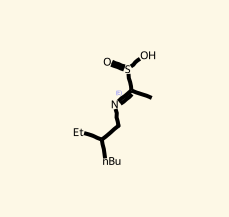 CCCCC(CC)C/N=C(\C)S(=O)O